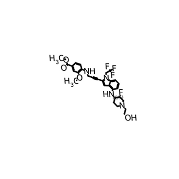 COC(=O)c1ccc(NCC#Cc2cc3c(N[C@@H]4CCN(CCO)C[C@@H]4F)cccc3n2CC(F)(F)F)c(OC)c1